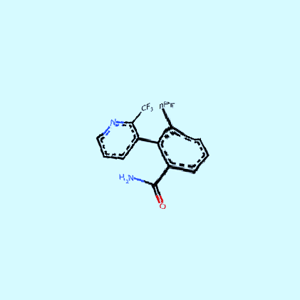 CCCc1cccc(C(N)=O)c1-c1cccnc1C(F)(F)F